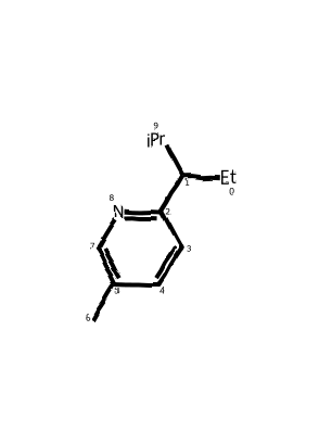 CCC(c1ccc(C)cn1)C(C)C